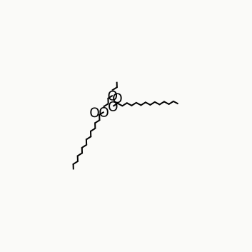 CCCCCCCCCCCCCC(=O)OCC(COCCC)OC(=O)CCCCCCCCCCCCC